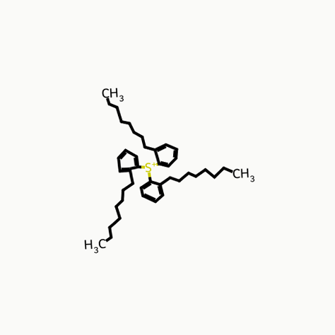 CCCCCCCCc1ccccc1[S+](c1ccccc1CCCCCCCC)c1ccccc1CCCCCCCC